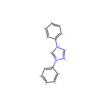 c1ccc(-n2cn[n+](-c3ccccc3)c2)cc1